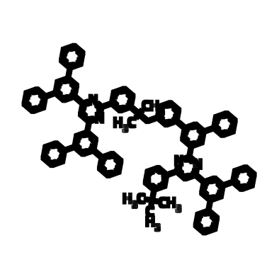 CC(C)(C)c1cccc(-c2cc(-c3cc(-c4ccccc4)cc(-c4ccccc4)c3)nc(-c3cc(-c4ccccc4)cc(-c4cccc(CC(C)(C)c5cccc(-c6nc(-c7cc(-c8ccccc8)cc(-c8ccccc8)c7)cc(-c7cc(-c8ccccc8)cc(-c8ccccc8)c7)n6)c5)c4)c3)n2)c1